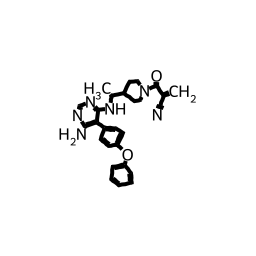 C=C(C#N)C(=O)N1CCC(C(C)Nc2ncnc(N)c2-c2ccc(Oc3ccccc3)cc2)CC1